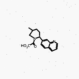 CC1CCC(c2ccc3cccnc3c2)N(C(=O)C(=O)O)C1